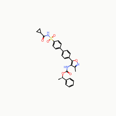 Cc1noc(-c2ccc(-c3ccc(S(=O)(=O)NC(=O)C4CC4)cc3)cc2)c1NC(=O)O[C@H](C)c1ccccc1